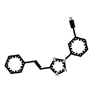 N#Cc1cccc(-n2nnc(C=Cc3ccccc3)n2)c1